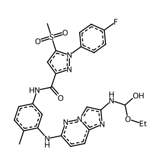 CCOC(O)Nc1cn2nc(Nc3cc(NC(=O)c4cc(S(C)(=O)=O)n(-c5ccc(F)cc5)n4)ccc3C)ccc2n1